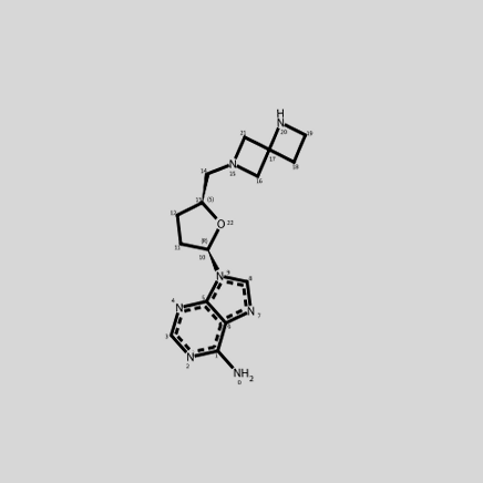 Nc1ncnc2c1ncn2[C@H]1CC[C@@H](CN2CC3(CCN3)C2)O1